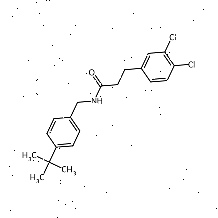 CC(C)(C)c1ccc(CNC(=O)CCc2ccc(Cl)c(Cl)c2)cc1